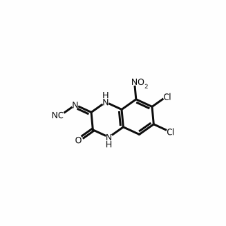 N#C/N=c1/[nH]c2c([N+](=O)[O-])c(Cl)c(Cl)cc2[nH]c1=O